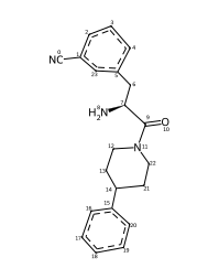 N#Cc1cccc(C[C@H](N)C(=O)N2CCC(c3ccccc3)CC2)c1